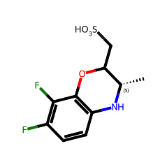 C[C@@H]1Nc2ccc(F)c(F)c2OC1CS(=O)(=O)O